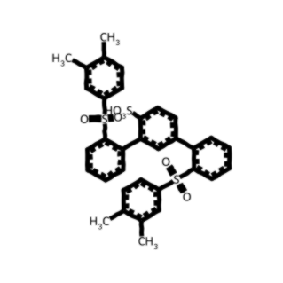 Cc1ccc(S(=O)(=O)c2ccccc2-c2ccc(S(=O)(=O)O)c(-c3ccccc3S(=O)(=O)c3ccc(C)c(C)c3)c2)cc1C